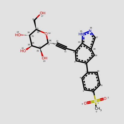 CS(=O)(=O)c1ccc(-c2cc(C#C[C@H]3O[C@H](CO)[C@@H](O)[C@H](O)[C@@H]3O)c3[nH]ncc3c2)cc1